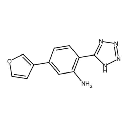 Nc1cc(-c2ccoc2)ccc1-c1nnn[nH]1